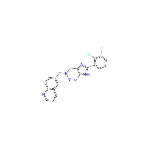 Fc1cccc(-c2nc3c([nH]2)C=NN(Cc2ccc4ncccc4c2)C3)c1F